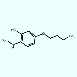 CCCCOc1ccc(NC)c(O)c1